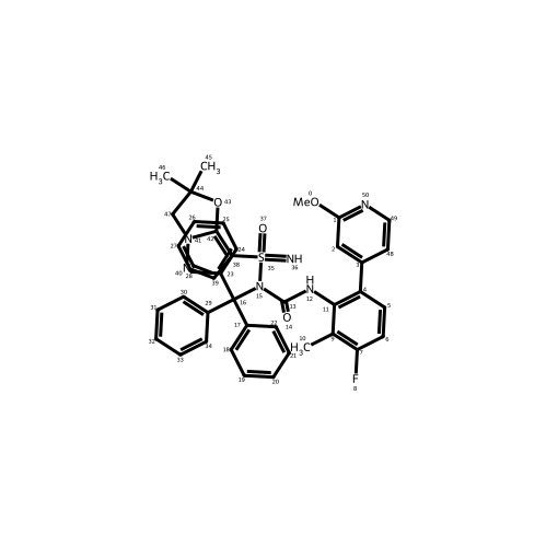 COc1cc(-c2ccc(F)c(C)c2NC(=O)N(C(c2ccccc2)(c2ccccc2)c2ccccc2)S(=N)(=O)c2cnn3c2OC(C)(C)C3)ccn1